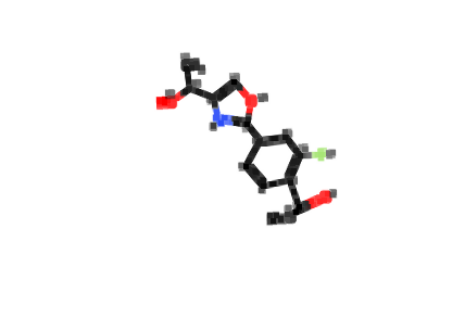 COC(=O)c1ccc(-c2nc(C(C)O)co2)cc1F